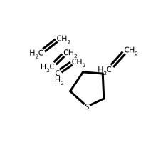 C1CCSC1.C=C.C=C.C=C.C=C